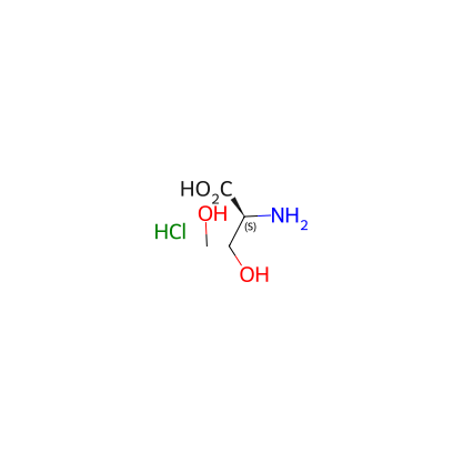 CO.Cl.N[C@@H](CO)C(=O)O